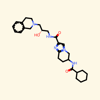 O=C(NC[C@H](O)CN1CCc2ccccc2C1)c1cn2c(n1)CCC(NC(=O)C1CCCCC1)C2